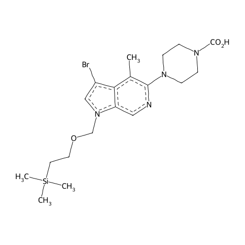 Cc1c(N2CCN(C(=O)O)CC2)ncc2c1c(Br)cn2COCC[Si](C)(C)C